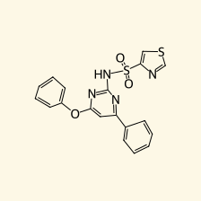 O=S(=O)(Nc1nc(Oc2ccccc2)cc(-c2ccccc2)n1)c1cscn1